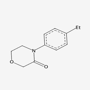 CCc1ccc(N2CCOCC2=O)cc1